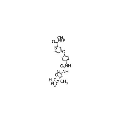 CNC(=O)c1cc(Oc2ccc(NC(=O)Nc3cc(C(C)(C)C)on3)cc2)ccn1